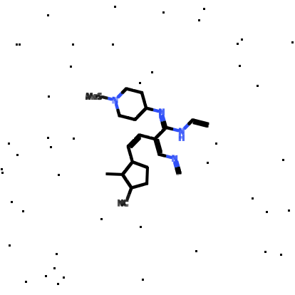 C=CNC(=N/C1CCN(SC)CC1)/C(/C=C\C1CCC(C#N)C1C)=C\N=C